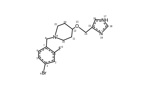 Fc1cc(Br)ccc1CN1CCC(OCc2c[nH]cn2)CC1